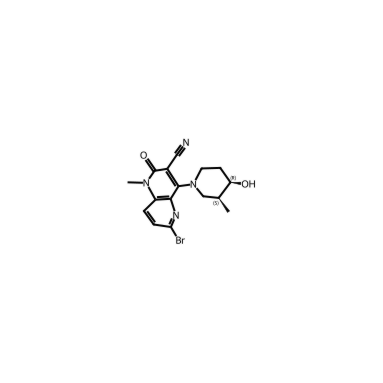 C[C@H]1CN(c2c(C#N)c(=O)n(C)c3ccc(Br)nc23)CC[C@H]1O